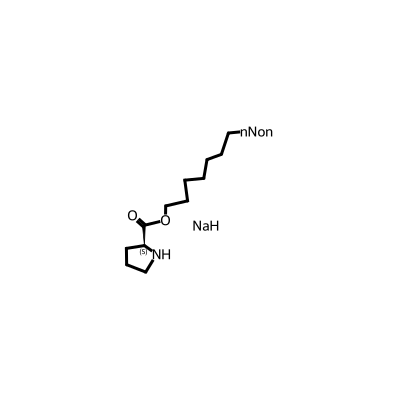 CCCCCCCCCCCCCCCCOC(=O)[C@@H]1CCCN1.[NaH]